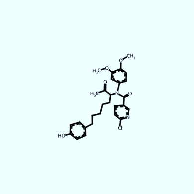 COc1ccc(N(C(=O)c2ccc(Cl)nc2)C(CCCCCc2ccc(O)cc2)C(N)=O)cc1OC